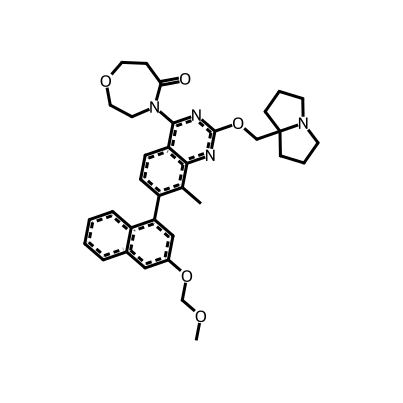 COCOc1cc(-c2ccc3c(N4CCOCCC4=O)nc(OCC45CCCN4CCC5)nc3c2C)c2ccccc2c1